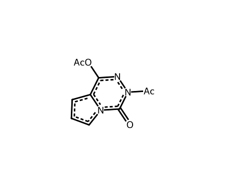 CC(=O)Oc1nn(C(C)=O)c(=O)n2cccc12